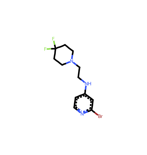 FC1(F)CCN(CCNc2ccnc(Br)c2)CC1